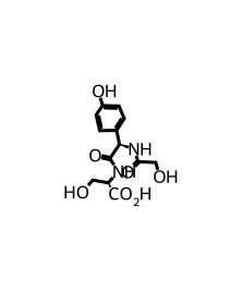 O=C(CO)N[C@@H](C(=O)N[C@@H](CO)C(=O)O)c1ccc(O)cc1